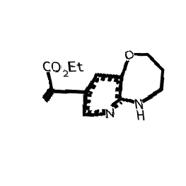 C=C(C(=O)OCC)c1cnc2c(c1)OCCCN2